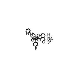 CC1(C)CS[C@@H](C(=O)C2=C(Cl)C(OC(=O)[N+]3(S(=O)(=O)c4ccc(F)cc4)CCN(c4ccccn4)CC3)=CC[CH]2)N1